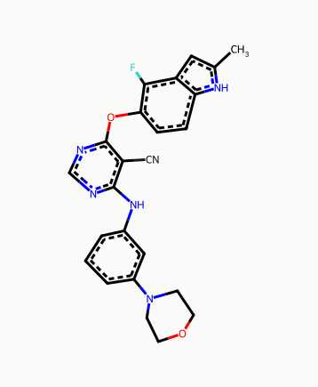 Cc1cc2c(F)c(Oc3ncnc(Nc4cccc(N5CCOCC5)c4)c3C#N)ccc2[nH]1